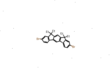 CCC1(CC)c2cc(Br)ccc2-c2cc3c(cc21)C(CC)(CC)c1cc(Br)ccc1-3